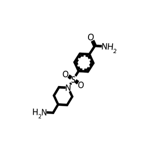 NCC1CCN(S(=O)(=O)c2ccc(C(N)=O)cc2)CC1